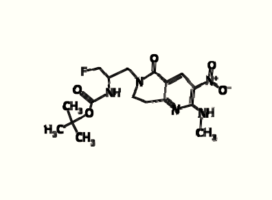 CNc1nc2c(cc1[N+](=O)[O-])C(=O)N(CC(CF)NC(=O)OC(C)(C)C)CC2